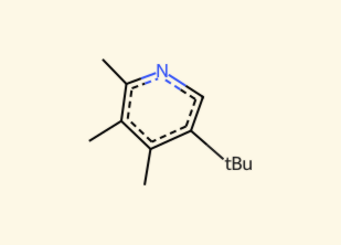 Cc1ncc(C(C)(C)C)c(C)c1C